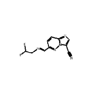 N#Cc1cnc2ccc(C=NCC(F)F)nn12